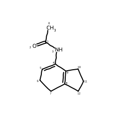 CC(=O)NC1=CCCC2=C1CCC2